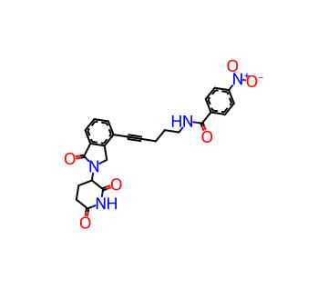 O=C1CCC(N2Cc3c(C#CCCCNC(=O)c4ccc([N+](=O)[O-])cc4)cccc3C2=O)C(=O)N1